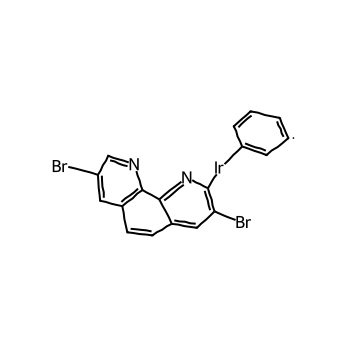 Brc1cnc2c(ccc3cc(Br)[c]([Ir][c]4c[c]ccc4)nc32)c1